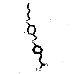 CCCCCOC1CCC(COc2ccc(/C=C/C(=O)O)cc2)CC1